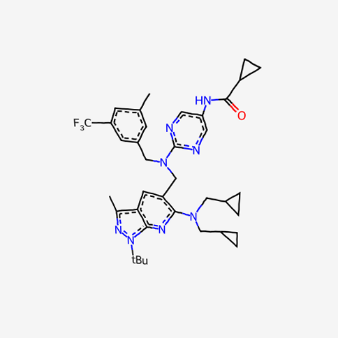 Cc1cc(CN(Cc2cc3c(C)nn(C(C)(C)C)c3nc2N(CC2CC2)CC2CC2)c2ncc(NC(=O)C3CC3)cn2)cc(C(F)(F)F)c1